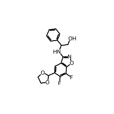 OCC(Nc1noc2c(F)c(F)c(C3OCCO3)cc12)c1ccccc1